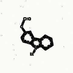 CCn1c2ccccc2c2cc(OC=O)ccc21